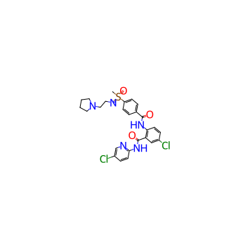 CS(=O)(=NCCN1CCCC1)c1ccc(C(=O)Nc2ccc(Cl)cc2C(=O)Nc2ccc(Cl)cn2)cc1